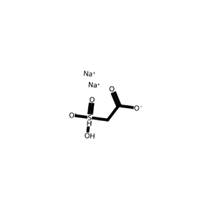 O=C([O-])C[SH](=O)([O-])O.[Na+].[Na+]